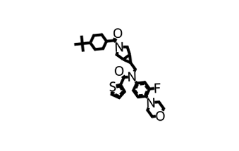 CC(C)(C)C1CCC(C(=O)N2CC3C(C2)C3CN(C(=O)c2cccs2)c2ccc(N3CCOCC3)c(F)c2)CC1